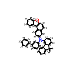 CC1(C)c2ccccc2-c2c(N(c3cccc(-c4ccccc4)c3)c3ccc4c(ccc5oc6ccccc6c54)c3)cccc21